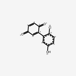 O=C1C=CC(=O)C(c2cc(O)ccc2Cl)=C1